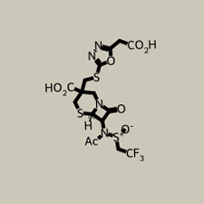 CC(=O)N(C1C(=O)N2CC(CSc3nnc(CC(=O)O)o3)(C(=O)O)CS[C@H]12)[S+]([O-])CC(F)(F)F